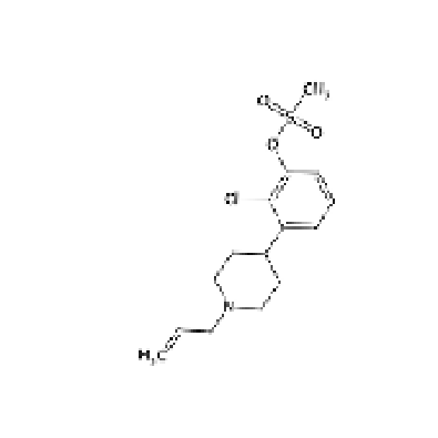 C=CCN1CCC(c2cccc(OS(C)(=O)=O)c2Cl)CC1